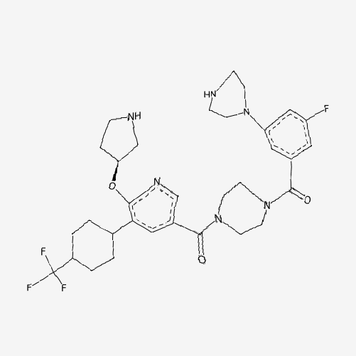 O=C(c1cc(F)cc(N2CCNCC2)c1)N1CCN(C(=O)c2cnc(O[C@H]3CCNC3)c(C3CCC(C(F)(F)F)CC3)c2)CC1